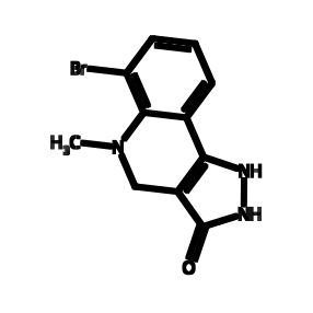 CN1Cc2c([nH][nH]c2=O)-c2cccc(Br)c21